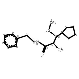 CO[C@@H](C1CCCC1)[C@@H](C)C(=S)NCCc1ccccc1